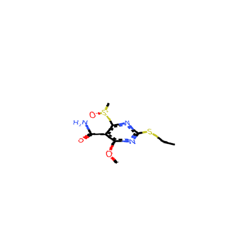 CCSc1nc(OC)c(C(N)=O)c([S+](C)[O-])n1